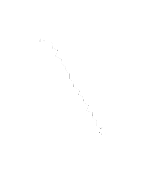 CCCCCCCCCCCCCCCCCCCCCCCCCCCCCCCCC(N)=O